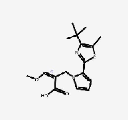 CO/C=C(/Cn1cccc1-c1nc(C(C)(C)C)c(C)s1)C(=O)O